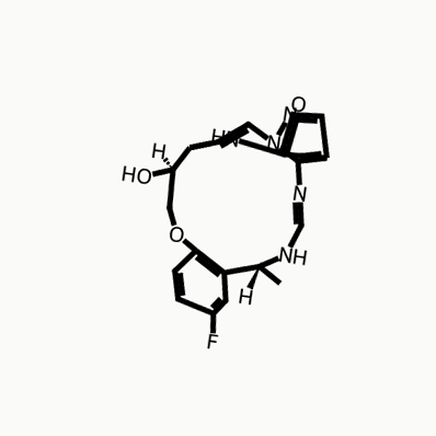 C[C@H]1N/C=N\c2c3cnn2/C=C/C(NC3=O)[C@H](O)COc2ccc(F)cc21